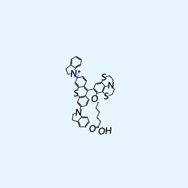 O=C(O)CCCCCOc1c(-c2c3cc/c(=[N+]4/CCc5ccccc54)cc-3sc3cc(N4CCc5ccccc54)ccc23)cc2c3c1SCCN3CCS2